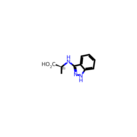 C[C@H](Nc1n[nH]c2ccccc12)C(=O)O